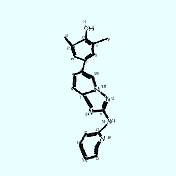 Cc1cc(-c2ccc3nc(Nc4ccccn4)nn3c2)cc(C)c1O